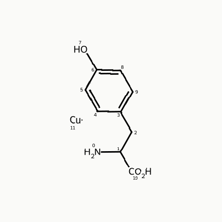 NC(Cc1ccc(O)cc1)C(=O)O.[Cu]